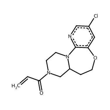 C=CC(=O)N1CCN2c3ncc(Cl)cc3OCCC2C1